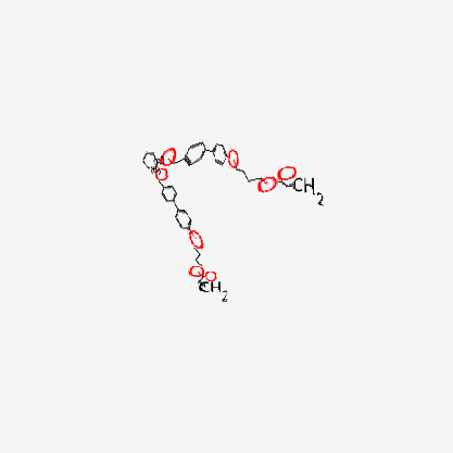 C=CC(=O)OCCCCOc1ccc(-c2ccc(CO[C@@H]3CCCC[C@H]3OCc3ccc(-c4ccc(OCCCCOC(=O)C=C)cc4)cc3)cc2)cc1